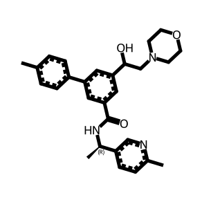 Cc1ccc(-c2cc(C(=O)N[C@H](C)c3ccc(C)nc3)cc(C(O)CN3CCOCC3)c2)cc1